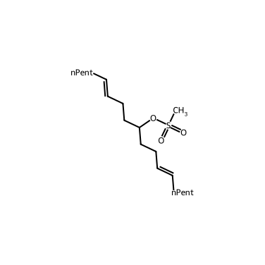 CCCCCC=CCCC(CCC=CCCCCC)OS(C)(=O)=O